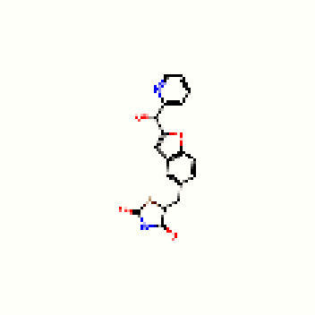 O=C1NC(=O)C(Cc2ccc3oc(C(=O)c4ccccn4)cc3c2)S1